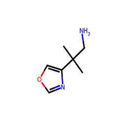 CC(C)(CN)c1cocn1